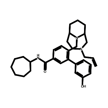 C=CCN1CCC2CCCC(C1)N2Cc1ccc(C(=O)NC2CCCCCC2)cc1-c1cccc(O)c1